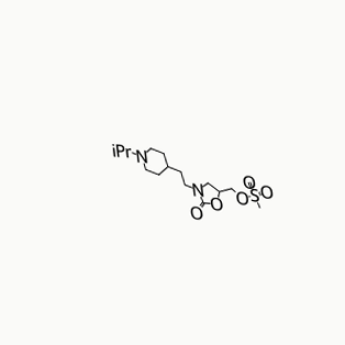 CC(C)N1CCC(CCN2CC(COS(C)(=O)=O)OC2=O)CC1